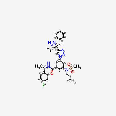 CCCN(c1cc(C(=O)N[C@H](C)c2ccc(F)cc2)cc(-n2cc(C(C)(N)Cc3ccccc3)nn2)c1)S(C)(=O)=O